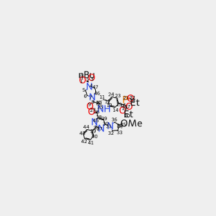 CCCCOC(=O)N1CCN(C(=O)[C@H](Cc2ccc(C(OCC)(OCC)P=O)cc2)NC(=O)c2cc(N3CC[C@H](OC)C3)nc(-c3ccccc3)n2)CC1